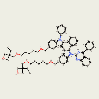 CCC1(COCCCCCOCc2ccc3c(c2)c2c4c5cc(COCCCCCOCC6(CC)COC6)ccc5n(-c5nc(-c6ccccc6)c6ccccc6n5)c4c4ccccc4c2n3-c2ccccc2)COC1